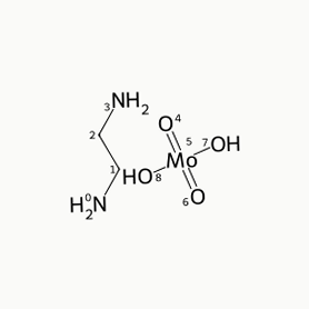 NCCN.[O]=[Mo](=[O])([OH])[OH]